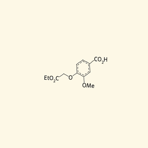 CCOC(=O)COc1ccc(C(=O)O)cc1OC